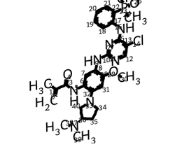 C=C(C)C(=O)Nc1cc(Nc2ncc(Cl)c(Nc3ccccc3P(C)(C)=O)n2)c(OC)cc1N1CC[C@@H](N(C)C)C1